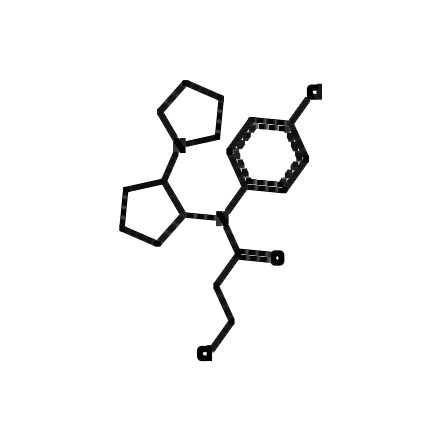 O=C(CCCl)N(c1ccc(Cl)cc1)C1CCCC1N1CCCC1